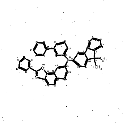 CC1(C)c2ccccc2-c2cc(N(c3cccc(-c4ccccc4)c3)c3ccc4ccc5nc(-c6ccccc6)oc5c4c3)ccc21